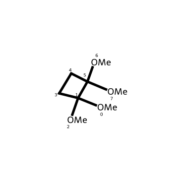 COC1(OC)CCC1(OC)OC